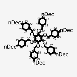 CCCCCCCCCCC1CCC(COc2c(OCC3CCC(CCCCCCCCCC)CC3)c(OCC3CCC(CCCCCCCCCC)CC3)c(OCC3CCC(CCCCCCCCCC)CC3)c(OCC3CCC(CCCCCCCCCC)CC3)c2OCC2CCC(CCCCCCCCCC)CC2)CC1